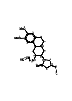 COc1cc2c(cc1OC)C1CC(N)C(N3CC(CF)CC3=O)CN1CC2.Cl.Cl